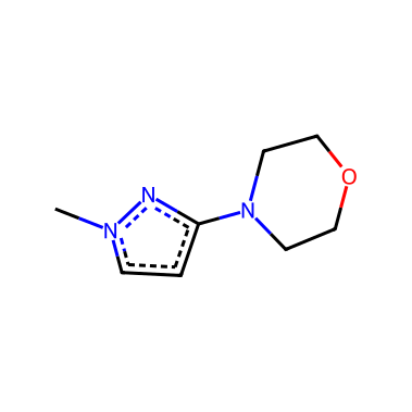 Cn1ccc(N2CCOCC2)n1